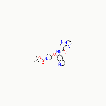 CC(C)(C)OC(=O)N1CCC(Oc2cc3ncccc3cc2NC(=O)c2cnn3cccnc23)CC1